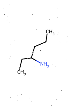 CCCC(N)CC